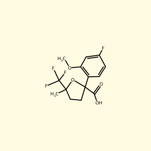 COc1cc(F)ccc1C1(C(=O)O)CCC(C)(C(F)(F)F)O1